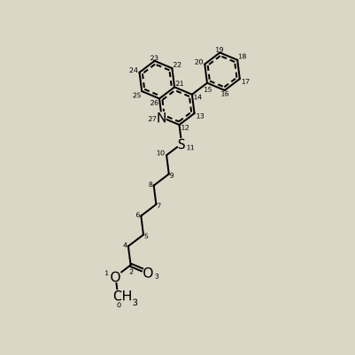 COC(=O)CCCCCCCSc1cc(-c2ccccc2)c2ccccc2n1